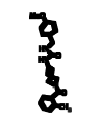 COc1ccc(CNC(=O)NC2CC3(C2)CN(C(=O)c2ccccc2C)C3)cc1